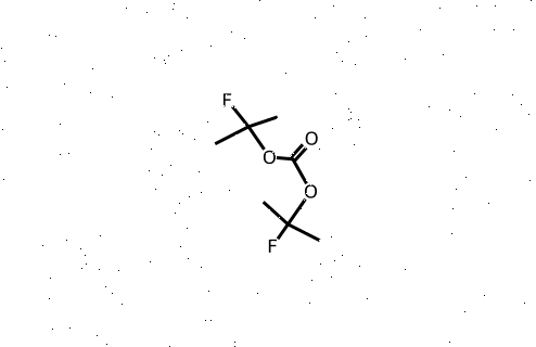 CC(C)(F)OC(=O)OC(C)(C)F